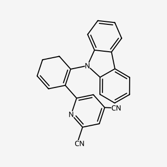 N#Cc1cc(C#N)nc(C2=C(n3c4ccccc4c4ccccc43)CCC=C2)c1